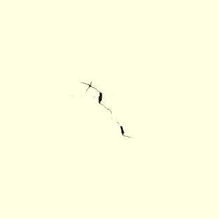 C/C=C/CC/C=C/C(C)(C)O